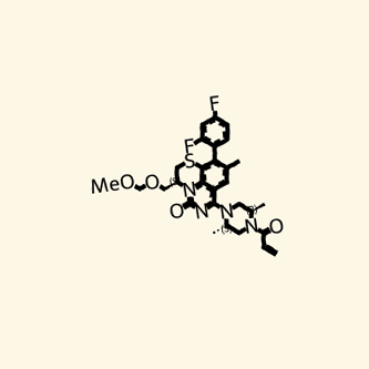 C=CC(=O)N1C[C@H](C)N(c2nc(=O)n3c4c(c(-c5ccc(F)cc5F)c(C)cc24)SC[C@@H]3COCOC)C[C@H]1C